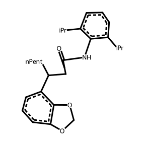 CCCCCC(CC(=O)Nc1c(C(C)C)cccc1C(C)C)c1cccc2c1OCO2